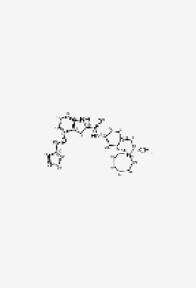 C[C@@H](CN1CCC(NC(=O)C2Cc3c(cccc3OCc3ccoc3)N2)CC1)N1CCCCCC1